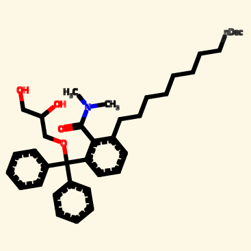 CCCCCCCCCCCCCCCCCCc1cccc(C(OCC(O)CO)(c2ccccc2)c2ccccc2)c1C(=O)N(C)C